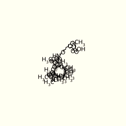 CC[C@H]1OC(=O)[C@H](C)[C@@H](O[C@H]2C[C@@](C)(OC)[C@@H](OC(=O)NCCOCCCc3cc4c5c(c3)c(=O)c(C(=O)O)cn5C(C)CC4)[C@H](C)O2)[C@H](C)[C@@H](OC2O[C@H](C)C[C@H](N(C)C)[C@H]2O)[C@](C)(O)C[C@@H](C)CN(C)[C@H](C)[C@@H](O)[C@]1(C)O